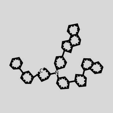 c1ccc(-c2cccc(-c3ccc(N(c4ccc(-c5ccc6c(ccc7ccccc76)c5)cc4)c4cccc(-c5cccc(-c6cccc7ccccc67)c5)c4)cc3)c2)cc1